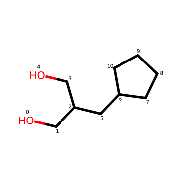 OCC(CO)CC1CCCC1